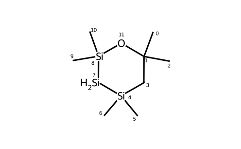 CC1(C)C[Si](C)(C)[SiH2][Si](C)(C)O1